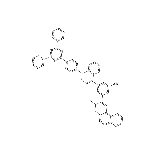 CC1Cc2ccc3ccccc3c2C=C1c1cc(C#N)cc(C2=CCC(c3ccc(-c4nc(-c5ccccc5)nc(-c5ccccc5)n4)cc3)c3ccccc32)c1